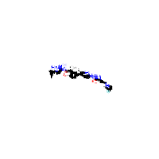 CC(C(=O)Nc1cc(C2CC2)[nH]n1)c1cccc(-c2ccc(NC(=O)C=CCN3CC[C@H](F)C3)nc2)c1